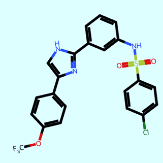 O=S(=O)(Nc1cccc(-c2nc(-c3ccc(OC(F)(F)F)cc3)c[nH]2)c1)c1ccc(Cl)cc1